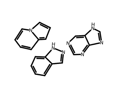 c1ccc2[nH]ncc2c1.c1ccn2cccc2c1.c1ncc2[nH]cnc2n1